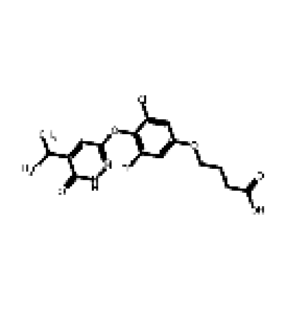 CC(C)c1cc(Oc2c(Cl)cc(OCCCC(=O)O)cc2Cl)n[nH]c1=O